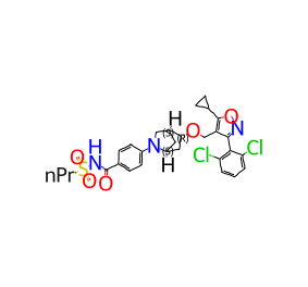 CCCS(=O)(=O)NC(=O)c1ccc(N2C[C@@H]3C[C@H]2C[C@H]3OCc2c(-c3c(Cl)cccc3Cl)noc2C2CC2)cc1